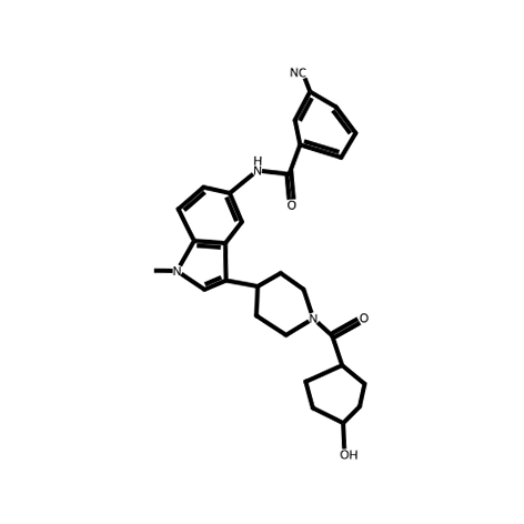 Cn1cc(C2CCN(C(=O)C3CCC(O)CC3)CC2)c2cc(NC(=O)c3cccc(C#N)c3)ccc21